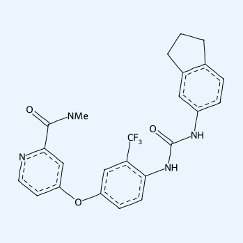 CNC(=O)c1cc(Oc2ccc(NC(=O)Nc3ccc4c(c3)CCC4)c(C(F)(F)F)c2)ccn1